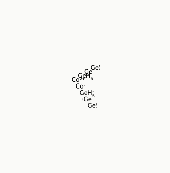 [Co+2].[Co].[GeH5-].[GeH5-].[Ge].[Ge].[Ge].[Ge]